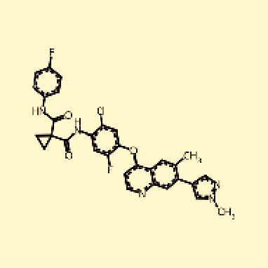 Cc1cc2c(Oc3cc(Cl)c(NC(=O)C4(C(=O)Nc5ccc(F)cc5)CC4)cc3F)ccnc2cc1-c1cnn(C)c1